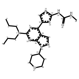 CCCN(CCC)c1nc(-c2cnc(NC(=O)NC)s2)c2cnn(C3CCOCC3)c2n1